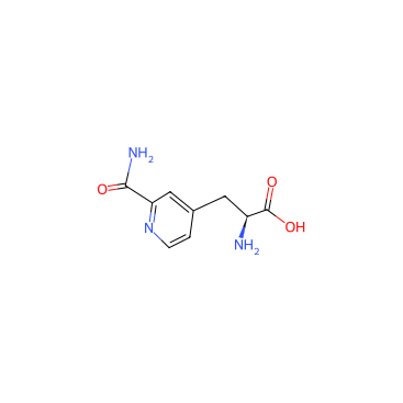 NC(=O)c1cc(C[C@H](N)C(=O)O)ccn1